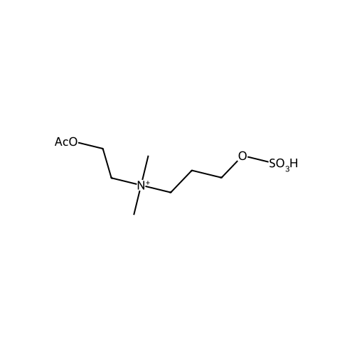 CC(=O)OCC[N+](C)(C)CCCOS(=O)(=O)O